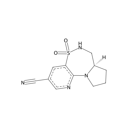 N#Cc1cnc2c(c1)S(=O)(=O)NC[C@H]1CCCN21